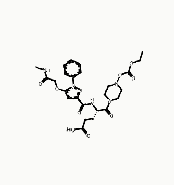 CCOC(=O)ON1CCN(C(=O)[C@H](CCC(=O)O)NC(=O)c2cc(OCC(=O)NC)n(-c3ccccc3)n2)CC1